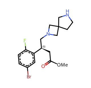 COC(=O)C[C@H](CN1CC2(CCNC2)C1)c1cc(Br)ccc1F